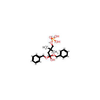 CC(C)(COP(=O)(O)O)CC(O)(OCc1ccccc1)OCc1ccccc1